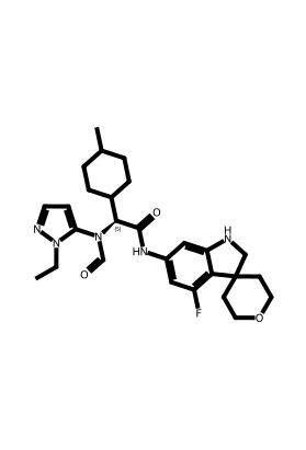 CCn1nccc1N(C=O)[C@H](C(=O)Nc1cc(F)c2c(c1)NCC21CCOCC1)C1CCC(C)CC1